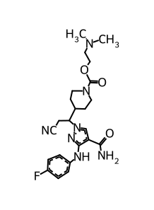 CN(C)CCOC(=O)N1CCC(C(CC#N)n2cc(C(N)=O)c(Nc3ccc(F)cc3)n2)CC1